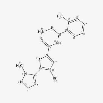 Cn1nccc1-c1sc(C(=O)NC(CN)c2ccccc2C(F)(F)F)cc1Br